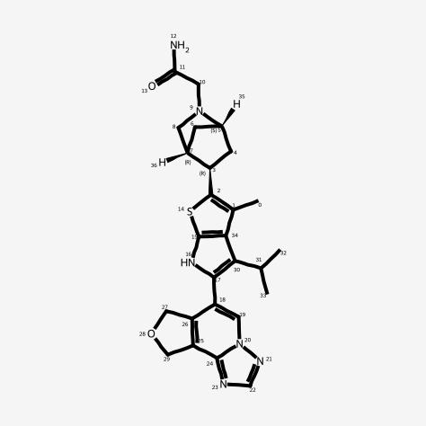 Cc1c([C@@H]2C[C@@H]3C[C@H]2CN3CC(N)=O)sc2[nH]c(-c3cn4ncnc4c4c3COC4)c(C(C)C)c12